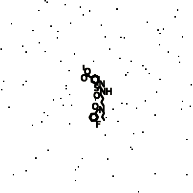 CCCN(CCCC(=O)Nc1nc2ccc(C(=O)OCC)cc2s1)C(=O)c1cccc(F)c1